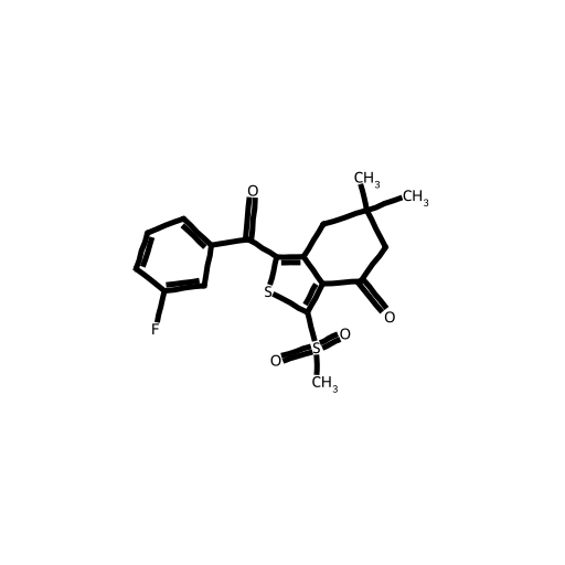 CC1(C)CC(=O)c2c(S(C)(=O)=O)sc(C(=O)c3cccc(F)c3)c2C1